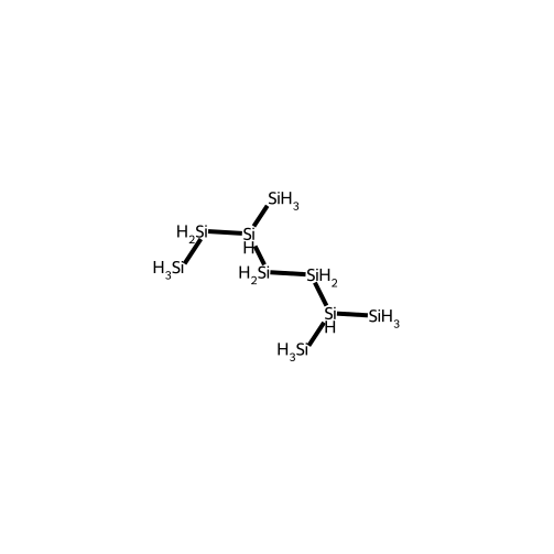 [SiH3][SiH2][SiH]([SiH3])[SiH2][SiH2][SiH]([SiH3])[SiH3]